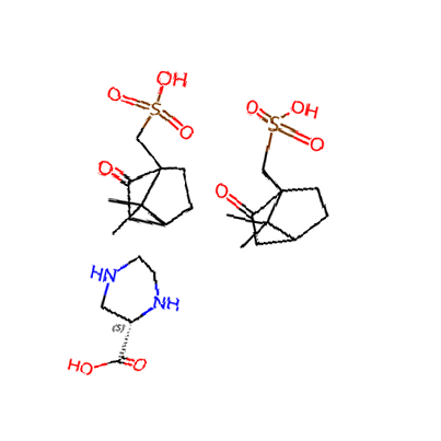 CC1(C)C2CCC1(CS(=O)(=O)O)C(=O)C2.CC1(C)C2CCC1(CS(=O)(=O)O)C(=O)C2.O=C(O)[C@@H]1CNCCN1